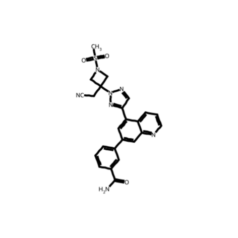 CS(=O)(=O)N1CC(CC#N)(n2ncc(-c3cc(-c4cccc(C(N)=O)c4)cc4ncccc34)n2)C1